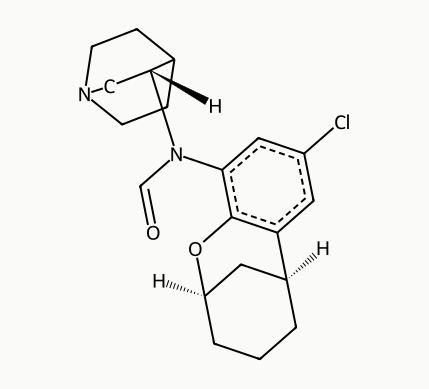 O=CN(c1cc(Cl)cc2c1O[C@@H]1CCC[C@H]2C1)[C@@H]1CN2CCC1CC2